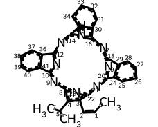 C/C=C\c1c(C(C)C)c2nc3nc(nc4[nH]c(nc5nc(nc1[nH]2)-c1ccccc1-5)c1ccccc41)-c1ccccc1-3